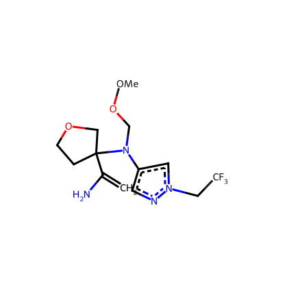 C=C(N)C1(N(COOC)c2cnn(CC(F)(F)F)c2)CCOC1